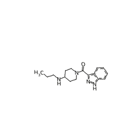 CCCNC1CCN(C(=O)c2n[nH]c3ccccc23)CC1